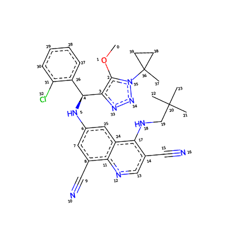 COc1c([C@@H](Nc2cc(C#N)c3ncc(C#N)c(NCC(C)(C)C)c3c2)c2ccccc2Cl)nnn1C1(C)CC1